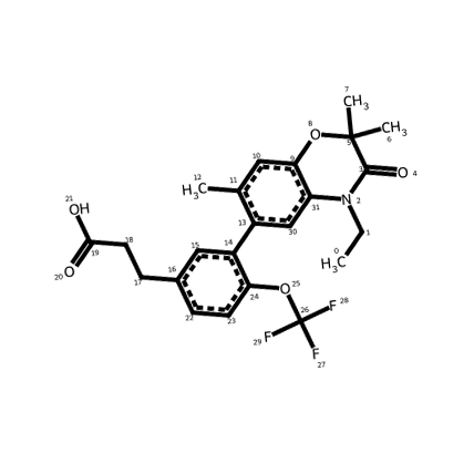 CCN1C(=O)C(C)(C)Oc2cc(C)c(-c3cc(CCC(=O)O)ccc3OC(F)(F)F)cc21